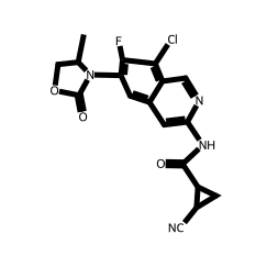 CC1COC(=O)N1c1cc2cc(NC(=O)C3CC3C#N)ncc2c(Cl)c1F